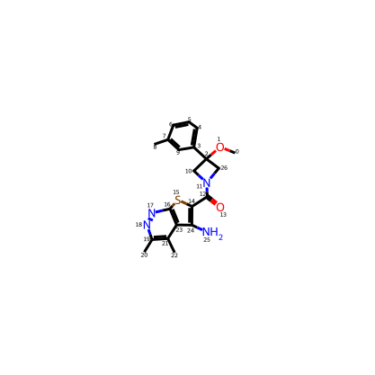 COC1(c2cccc(C)c2)CN(C(=O)c2sc3nnc(C)c(C)c3c2N)C1